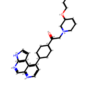 COCCOC1CCCN(CC(=O)C2CCC(c3ccnc4cnc5[nH]ccc5c34)CC2)C1